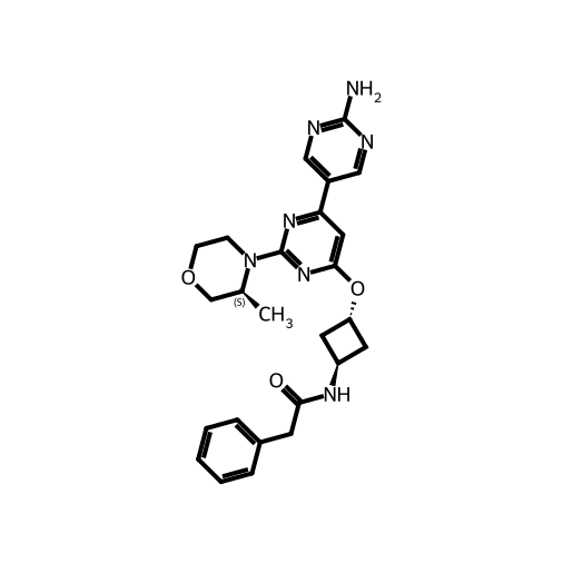 C[C@H]1COCCN1c1nc(O[C@H]2C[C@H](NC(=O)Cc3ccccc3)C2)cc(-c2cnc(N)nc2)n1